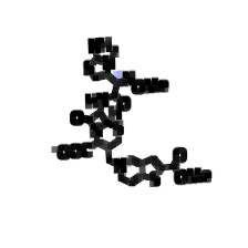 CO/N=C(\C(=O)NC1C(=O)N2C(C(=O)[O-])=C(C[n+]3ccc4sc(C(=O)OC)cc4c3)CS[C@H]12)c1csc(N)n1